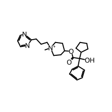 C[N+]1(CCCc2ncccn2)CCC(OC(=O)C(O)(c2ccccc2)C2CCCC2)CC1